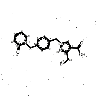 O=C(O)c1cn(Cc2ccc(Cn3ccccc3=O)cc2)nc1CBr